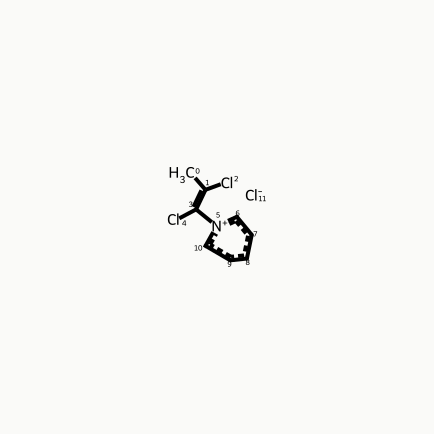 CC(Cl)=C(Cl)[n+]1ccccc1.[Cl-]